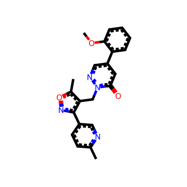 COc1ccccc1-c1cnn(Cc2c(-c3ccc(C)nc3)noc2C)c(=O)c1